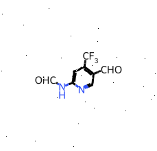 O=CNc1cc(C(F)(F)F)c(C=O)cn1